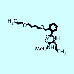 C=CCOCCCCOCc1ccccc1C(=O)N[C@@H](CC=C)C(=O)NOC